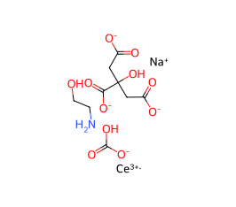 NCCO.O=C([O-])CC(O)(CC(=O)[O-])C(=O)[O-].O=C([O-])O.[Ce+3].[Na+]